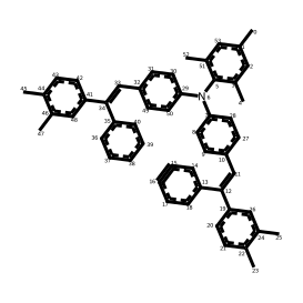 Cc1cc(C)c(N(c2ccc(/C=C(\c3cc#ccc3)c3ccc(C)c(C)c3)cc2)c2ccc(/C=C(\c3ccccc3)c3ccc(C)c(C)c3)cc2)c(C)c1